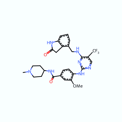 COc1cc(C(=O)NC2CCN(C)CC2)ccc1Nc1ncc(C(F)(F)F)c(NCc2cccc3c2CC(=O)N3)n1